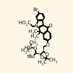 C[SiH](C)OC([C@@H]1OC(C)(C)O[C@@H]1COc1ccc2c(c1)C(C)(C)c1c(c3ccc(Br)cc3n1CC(=O)O)C2=O)C(C)(C)C